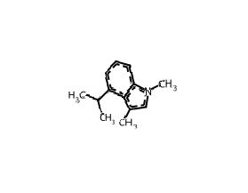 Cc1cn(C)c2cccc(C(C)C)c12